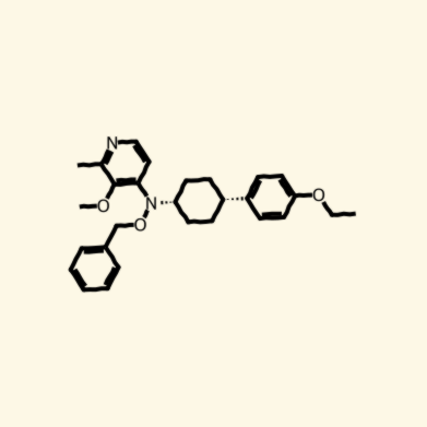 CCOc1ccc([C@H]2CC[C@@H](N(OCc3ccccc3)c3ccnc(C)c3OC)CC2)cc1